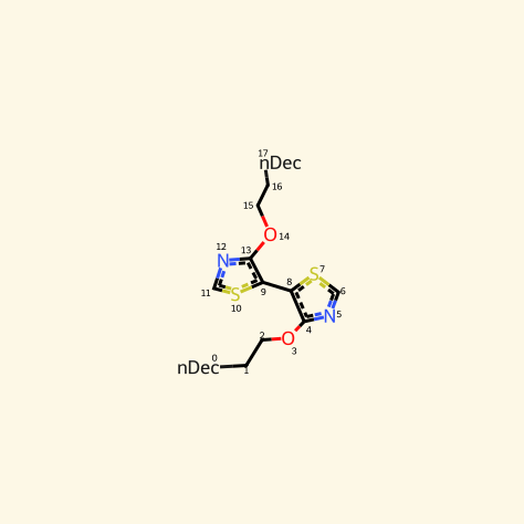 CCCCCCCCCCCCOc1ncsc1-c1scnc1OCCCCCCCCCCCC